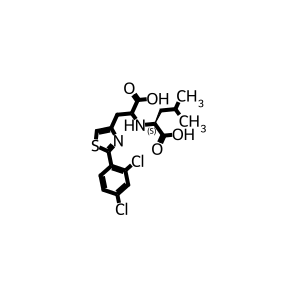 CC(C)C[C@H](NC(Cc1csc(-c2ccc(Cl)cc2Cl)n1)C(=O)O)C(=O)O